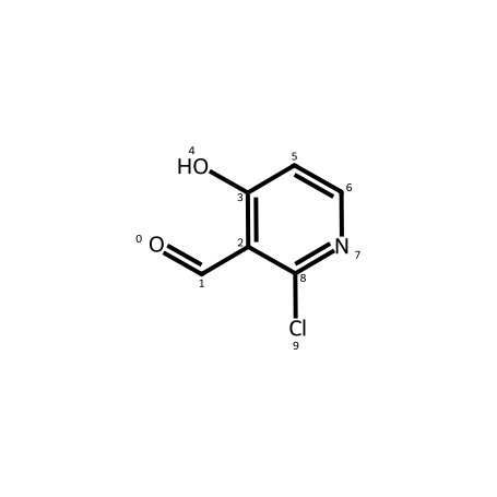 O=Cc1c(O)ccnc1Cl